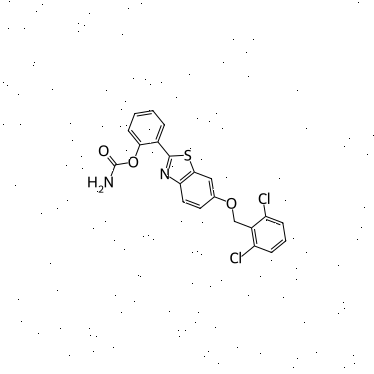 NC(=O)Oc1ccccc1-c1nc2ccc(OCc3c(Cl)cccc3Cl)cc2s1